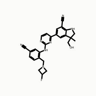 CC1(CO)CNc2c(C#N)cc(-c3ccnc(Nc4cc(C#N)ccc4CN4CC(F)C4)n3)cc21